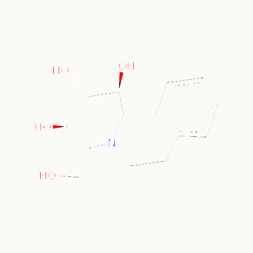 C[C@H](CN1C[C@H](O)[C@@H](O)[C@H](O)[C@H]1CO)c1ccccc1